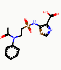 CC(=O)N(CCS(=O)(=O)Nc1scnc1C(=O)O)c1ccccc1